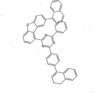 C1=C(c2ccc(-c3nc(-c4ccccc4)nc(-c4cccc5oc6ccc(-c7cccc8ccccc78)cc6c45)n3)cc2)c2ccccc2CC1